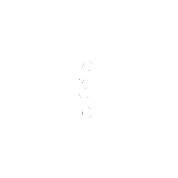 Clc1cccc2oc3cc4nc(-c5ccccc5)oc4cc3c12